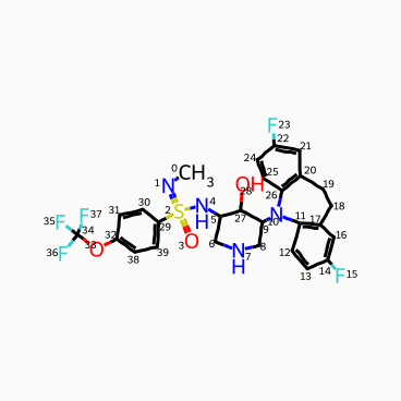 CN=S(=O)(NC1CNCC(N2c3ccc(F)cc3CCc3cc(F)ccc32)C1O)c1ccc(OC(F)(F)F)cc1